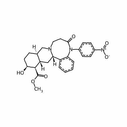 COC(=O)[C@@H]1[C@H]2C[C@H]3c4ccccc4N(c4ccc([N+](=O)[O-])cc4)C(=O)CCN3C[C@@H]2CC[C@@H]1O